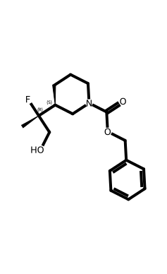 C[C@](F)(CO)[C@H]1CCCN(C(=O)OCc2ccccc2)C1